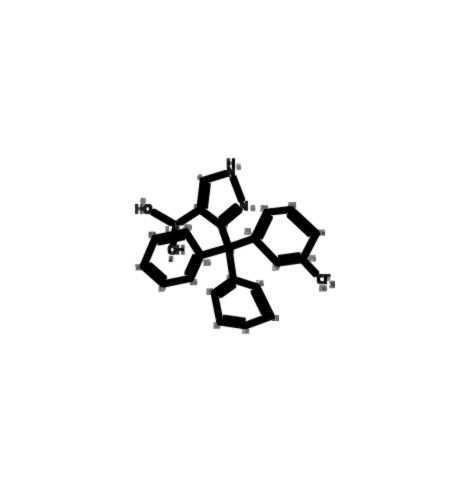 OB(O)c1c[nH]nc1C(c1ccccc1)(c1ccccc1)c1cccc(C(F)(F)F)c1